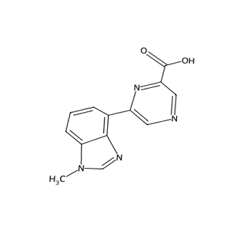 Cn1cnc2c(-c3cncc(C(=O)O)n3)cccc21